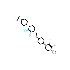 CC[C@H]1CCC(C2CCC(CC[C@H]3CC[C@@H](C4CCC(C)CC4)C(F)=C3F)CC2)C(F)=C1F